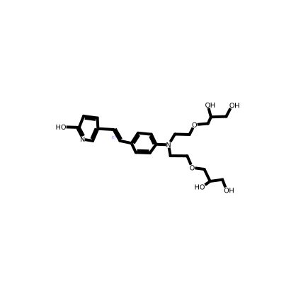 OCC(O)COCCN(CCOCC(O)CO)c1ccc(/C=C/c2ccc(O)nc2)cc1